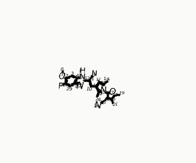 COc1cc2[nH]c(/C(C#N)=C/c3cc(C)n(-c4oc(C)c(C)c4C#N)c3C)nc2cc1F